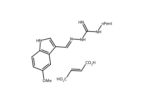 CCCCCNC(=N)N/N=C/c1c[nH]c2ccc(OC)cc12.O=C(O)/C=C/C(=O)O